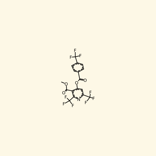 COC(=O)c1c(OC(=O)c2ccc(C(F)(F)F)cc2)cc(C(F)(F)F)nc1C(F)(F)F